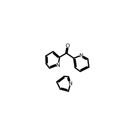 O=C(c1ccccn1)c1ccccn1.c1ccncc1